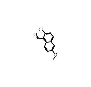 COc1ccc2c(C=O)c(Cl)ccc2c1